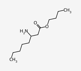 CCCCCC(N)CC(=O)OCCCC